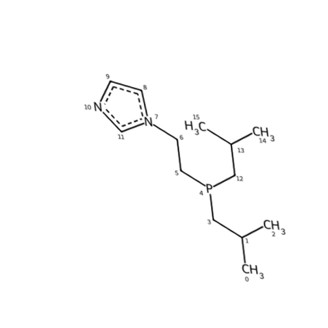 CC(C)CP(CCn1ccnc1)CC(C)C